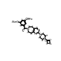 COc1cc(OC)cc(C(=O)N2CCc3cnc(N4CCN(C5CCC5)CC4)nc3CC2)c1